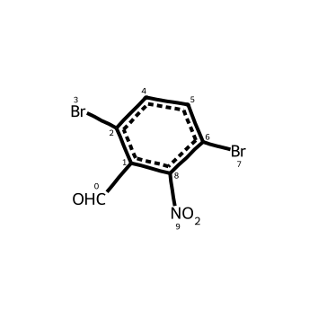 O=Cc1c(Br)ccc(Br)c1[N+](=O)[O-]